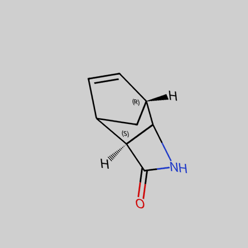 O=C1NC2[C@@H]1C1C=C[C@H]2C1